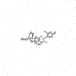 COc1ccnc(C(=O)N[C@H](C(=O)O[C@@H](C)[C@H](C)c2ccc(F)cc2C)C(C)C)c1O